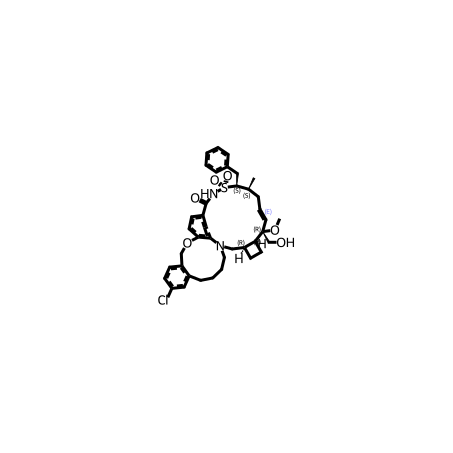 CO[C@@]1(CO)/C=C/C[C@H](C)[C@H](Cc2ccccc2)S(=O)(=O)NC(=O)c2ccc3c(c2)N(CCCCc2cc(Cl)ccc2CO3)C[C@@H]2CC[C@H]21